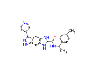 Cc1ccc(C(C)NC(=O)C2Nc3cc4[nH]nc(-c5ccncc5)c4cc3N2)cc1